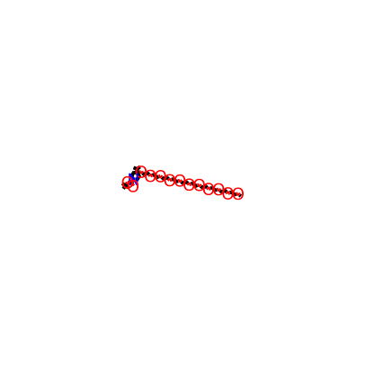 COCCOCCOCCOCCOCCOCCOCCOCCOCCOCCOC1(C(C)C)CCN(C(=O)OC(C)(C)C)CC1